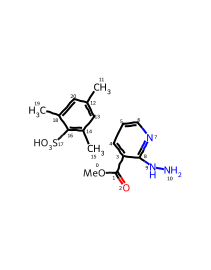 COC(=O)c1cccnc1NN.Cc1cc(C)c(S(=O)(=O)O)c(C)c1